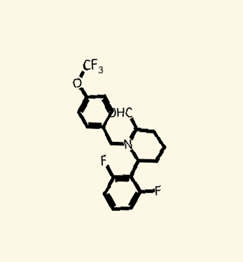 O=CC1CCCC(c2c(F)cccc2F)N1Cc1ccc(OC(F)(F)F)cc1